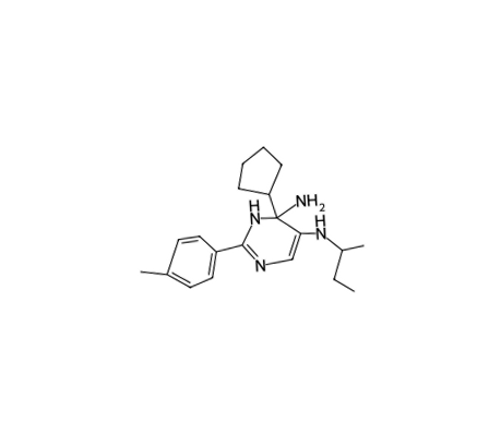 CCC(C)NC1=CN=C(c2ccc(C)cc2)NC1(N)C1CCCC1